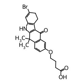 CC1(C)c2ccc(OCCCC(=O)O)cc2C(=O)c2c1[nH]c1c2CCC(Br)=C1